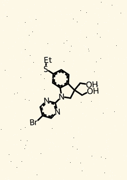 CCSc1ccc2c(c1)N(c1ncc(Br)cn1)CC2(CO)CO